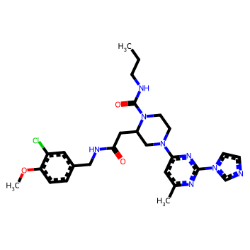 CCCNC(=O)N1CCN(c2cc(C)nc(-n3ccnc3)n2)CC1CC(=O)NCc1ccc(OC)c(Cl)c1